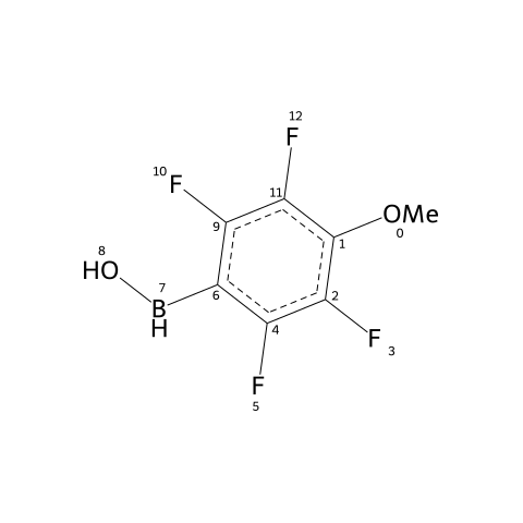 COc1c(F)c(F)c(BO)c(F)c1F